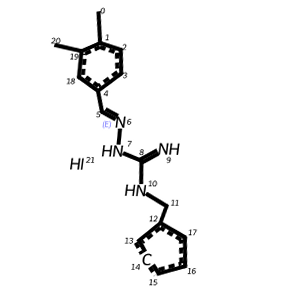 Cc1ccc(/C=N/NC(=N)NCc2ccccc2)cc1C.I